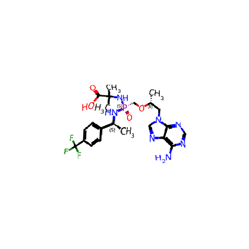 C[C@H](Cn1cnc2c(N)ncnc21)OC[P@](=O)(N[C@@H](C)c1ccc(C(F)(F)F)cc1)NC(C)(C)C(=O)O